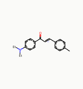 CCN(CC)c1ccc(C(=O)/C=C/c2ccc(C)cc2)cc1